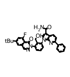 CC(C)(C)c1cc(F)c2c(=O)n(-c3cccc(-n4cc(C(N)=O)c5ccc(-c6ccccc6)nc54)c3CO)ncc2c1